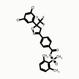 Cc1cccc(C)c1S(C)(=O)=NC(=O)c1ccc(C2=NOC(c3cc(Cl)cc(Cl)c3)(C(F)(F)F)C2)cc1